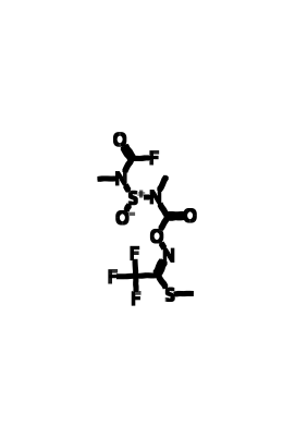 CSC(=NOC(=O)N(C)[S+]([O-])N(C)C(=O)F)C(F)(F)F